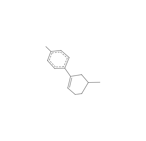 Cc1ccc(C2=CCCC(C)C2)cc1